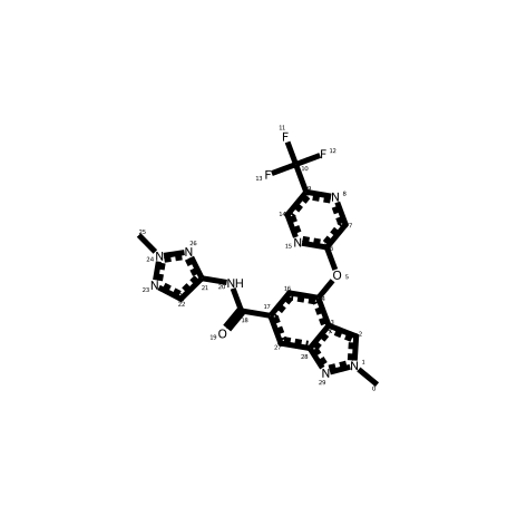 Cn1cc2c(Oc3cnc(C(F)(F)F)cn3)cc(C(=O)Nc3cnn(C)n3)cc2n1